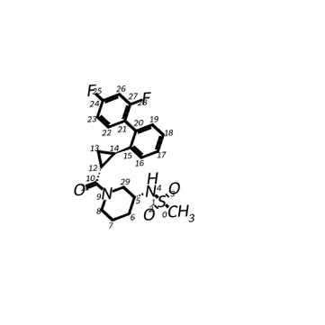 CS(=O)(=O)N[C@@H]1CCCN(C(=O)[C@@H]2C[C@H]2c2ccccc2-c2ccc(F)cc2F)C1